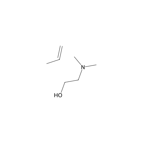 C=CC.CN(C)CCO